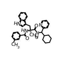 Cc1cccc(C(=O)N[C@@](C)(Cc2c[nH]c3ccccc23)C(=O)NC(c2ccccn2)C2CCCCC2)c1